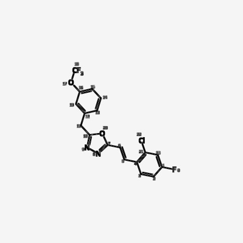 Fc1ccc(/C=C/c2nnc(Cc3cccc(OC(F)(F)F)c3)o2)c(Cl)c1